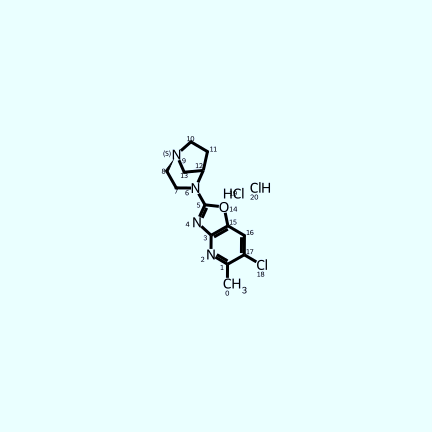 Cc1nc2nc(N3CC[N@@]4CCC3C4)oc2cc1Cl.Cl.Cl